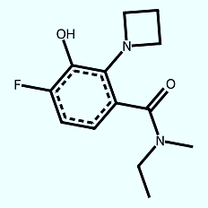 CCN(C)C(=O)c1ccc(F)c(O)c1N1CCC1